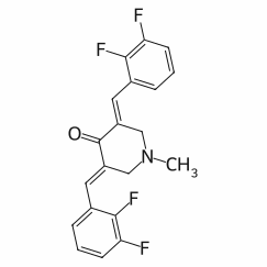 CN1C/C(=C\c2cccc(F)c2F)C(=O)/C(=C/c2cccc(F)c2F)C1